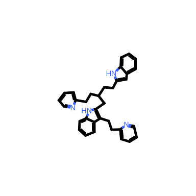 c1ccc(CCc2c(CC(CCc3ccccn3)CCc3cc4ccccc4[nH]3)[nH]c3ccccc23)nc1